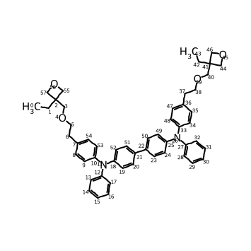 CCC1(COCCc2ccc(N(c3ccccc3)c3ccc(-c4ccc(N(c5ccccc5)c5ccc(CCOCC6(CC)COC6)cc5)cc4)cc3)cc2)COC1